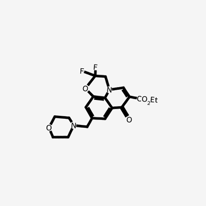 CCOC(=O)c1cn2c3c(cc(CN4CCOCC4)cc3c1=O)OC(F)(F)C2